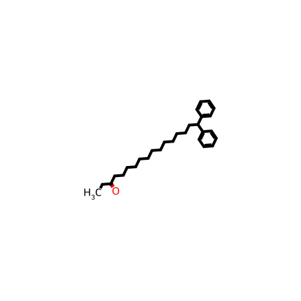 CCC(=O)CCCCCCCCCCCCCC(c1ccccc1)c1ccccc1